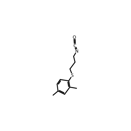 Cc1ccc(SCCCN=C=O)c(C)c1